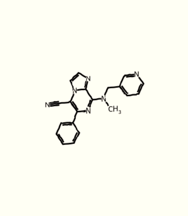 CN(Cc1cccnc1)c1nc(-c2ccccc2)c(C#N)n2ccnc12